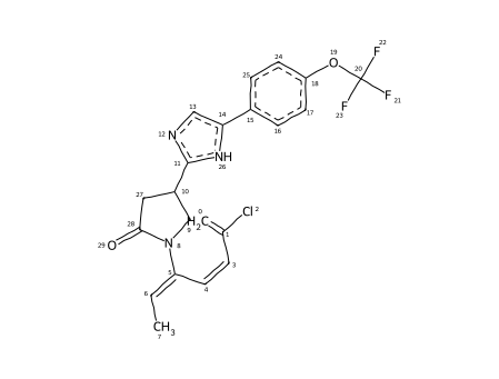 C=C(Cl)/C=C\C(=C/C)N1CC(c2ncc(-c3ccc(OC(F)(F)F)cc3)[nH]2)CC1=O